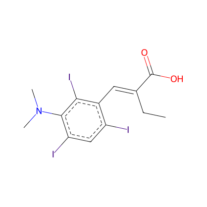 CCC(=Cc1c(I)cc(I)c(N(C)C)c1I)C(=O)O